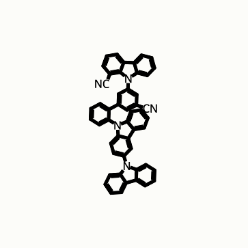 N#Cc1cc(-c2ccccc2-n2c3ccccc3c3cc(-n4c5ccccc5c5ccccc54)ccc32)cc(-n2c3ccccc3c3cccc(C#N)c32)c1